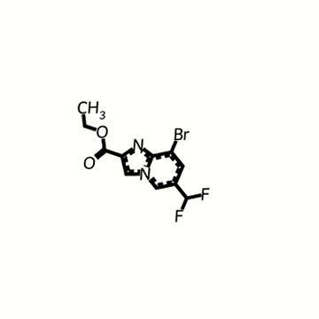 CCOC(=O)c1cn2cc(C(F)F)cc(Br)c2n1